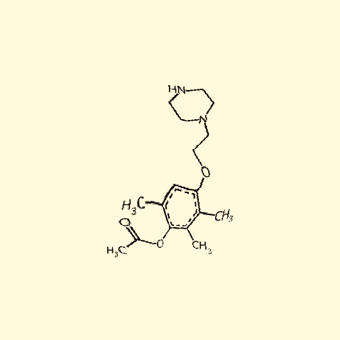 CC(=O)Oc1c(C)cc(OCCN2CCNCC2)c(C)c1C